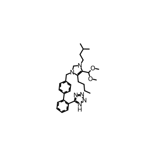 CCCCC1=C(C(OC)OC)N(CCC(C)C)CN1Cc1ccc(-c2ccccc2-c2nnn[nH]2)cc1